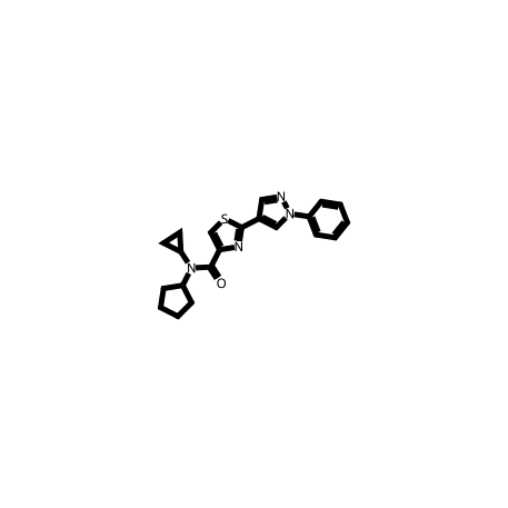 O=C(c1csc(-c2cnn(-c3ccccc3)c2)n1)N(C1CCCC1)C1CC1